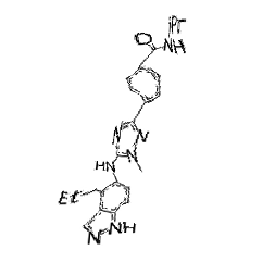 CCc1c(Nc2nc(-c3ccc(C(=O)NC(C)C)cc3)nn2C)ccc2[nH]ncc12